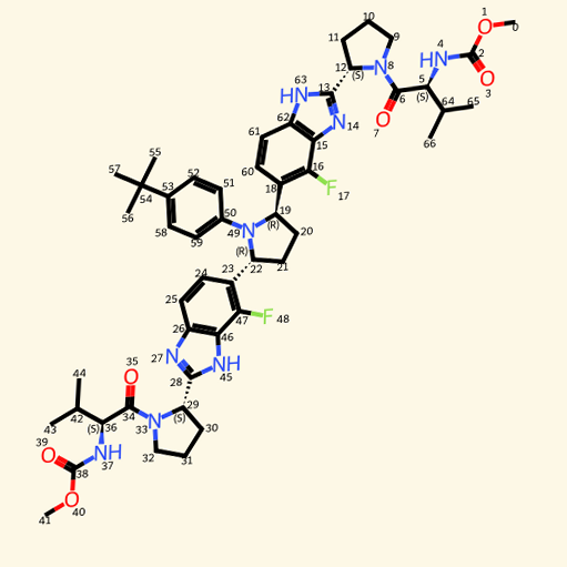 COC(=O)N[C@H](C(=O)N1CCC[C@H]1c1nc2c(F)c([C@H]3CC[C@H](c4ccc5nc([C@@H]6CCCN6C(=O)[C@@H](NC(=O)OC)C(C)C)[nH]c5c4F)N3c3ccc(C(C)(C)C)cc3)ccc2[nH]1)C(C)C